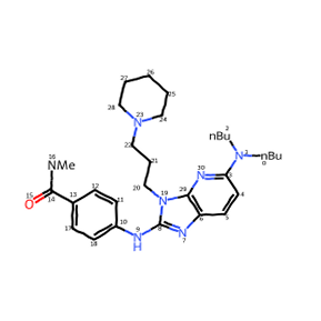 CCCCN(CCCC)c1ccc2nc(Nc3ccc(C(=O)NC)cc3)n(CCCN3CCCCC3)c2n1